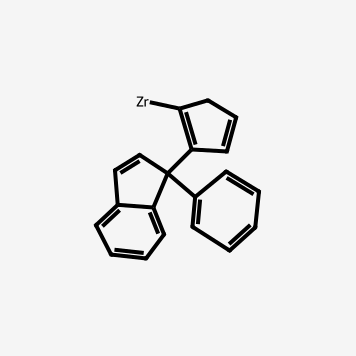 [Zr][C]1=C(C2(c3ccccc3)C=Cc3ccccc32)C=CC1